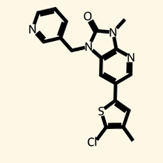 Cc1cc(-c2cnc3c(c2)n(Cc2cccnc2)c(=O)n3C)sc1Cl